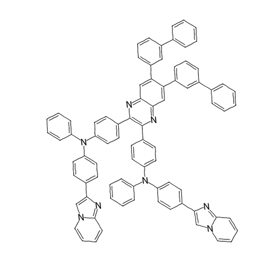 c1ccc(-c2cccc(-c3cc4nc(-c5ccc(N(c6ccccc6)c6ccc(-c7cn8ccccc8n7)cc6)cc5)c(-c5ccc(N(c6ccccc6)c6ccc(-c7cn8ccccc8n7)cc6)cc5)nc4cc3-c3cccc(-c4ccccc4)c3)c2)cc1